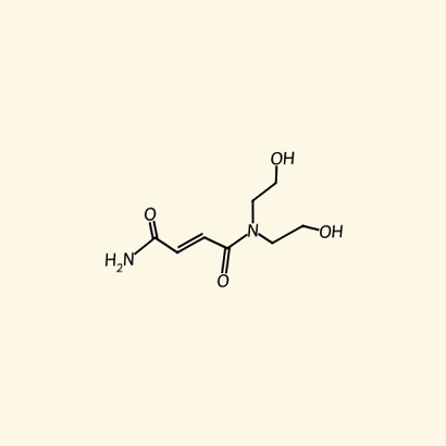 NC(=O)C=CC(=O)N(CCO)CCO